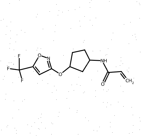 C=CC(=O)NC1CCC(Oc2cc(C(F)(F)F)on2)C1